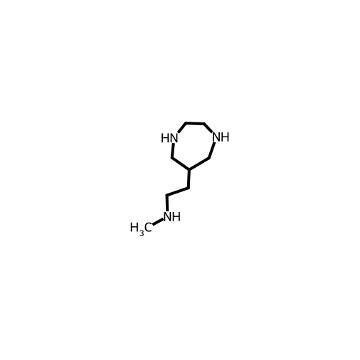 CNCCC1CNCCNC1